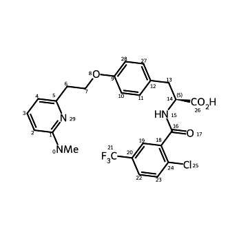 CNc1cccc(CCOc2ccc(C[C@H](NC(=O)c3cc(C(F)(F)F)ccc3Cl)C(=O)O)cc2)n1